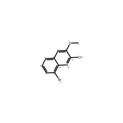 COc1cc2cccc(Br)c2nc1Cl